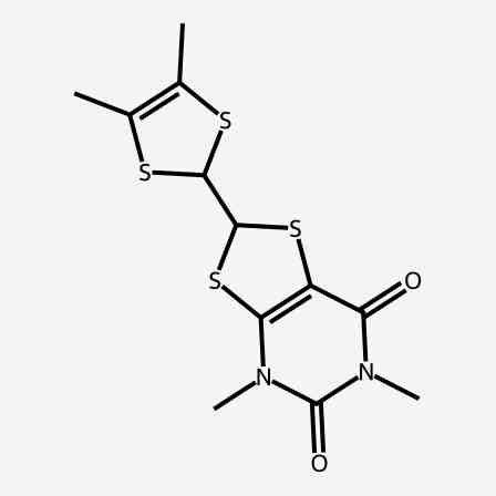 CC1=C(C)SC(C2Sc3c(n(C)c(=O)n(C)c3=O)S2)S1